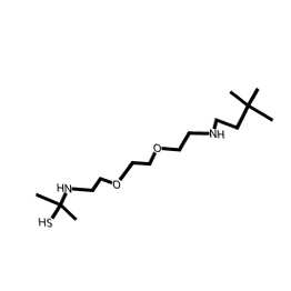 CC(C)(C)CCNCCOCCOCCNC(C)(C)S